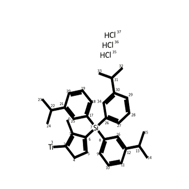 CC1=[C]([Ti])CC=C1[Si](c1cccc(C(C)C)c1)(c1cccc(C(C)C)c1)c1cccc(C(C)C)c1.Cl.Cl.Cl